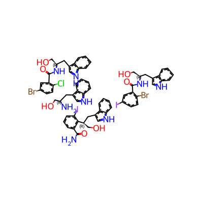 NC(=O)c1cccc(I)c1[C@H](CO)Cc1c[nH]c2ccccc12.N[C@@H](CO)Cc1c[nH]c2ccccc12.O=C(N[C@@H](CO)Cc1c[nH]c2ccccc12)c1cc(Br)ccc1Cl.O=C(N[C@@H](CO)Cc1c[nH]c2ccccc12)c1cc(I)ccc1Br